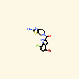 Nc1nc2c(s1)CN(C(=O)c1cc3c(Br)ccc(F)c3[nH]1)CC2